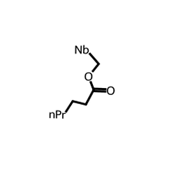 CCCCCC(=O)O[CH2][Nb]